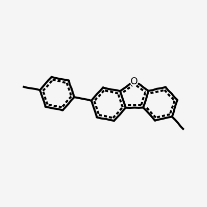 Cc1ccc(-c2ccc3c(c2)oc2ccc(C)cc23)cc1